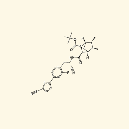 C[C@@H]1[C@H](C)[C@@H]2C[C@H]1[C@@H](C(=O)N[C@H](C#N)Cc1ccc(-c3ccc(C#N)s3)cc1F)N2C(=O)OC(C)(C)C